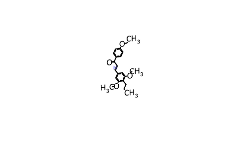 CCCc1c(OC)cc(/C=C/C(=O)c2ccc(OCC)cc2)cc1OC